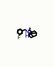 CC(NCc1cccc(F)c1)C12CC3CC(CC(C3)C1)C2